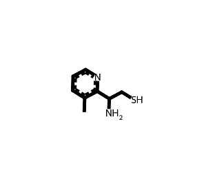 Cc1cccnc1C(N)CS